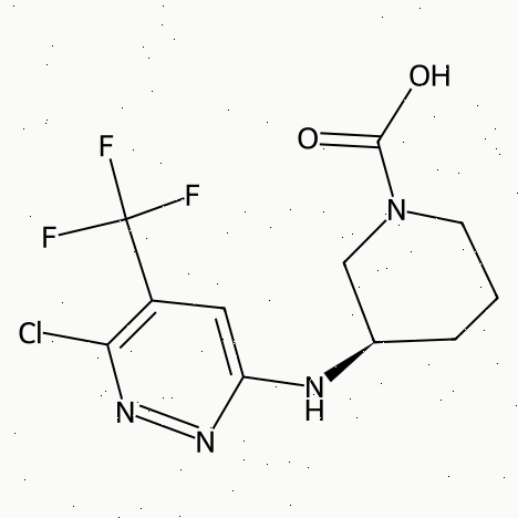 O=C(O)N1CCC[C@@H](Nc2cc(C(F)(F)F)c(Cl)nn2)C1